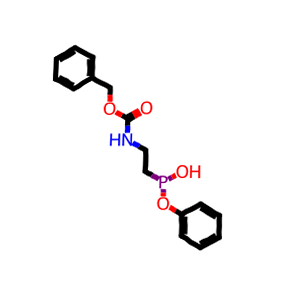 O=C(NCCP(O)Oc1ccccc1)OCc1ccccc1